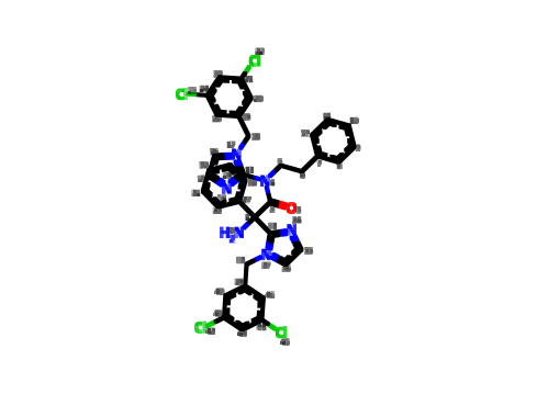 NC(C(=O)N(CCc1ccccc1)c1nccn1Cc1cc(Cl)cc(Cl)c1)(c1ccccc1)c1nccn1Cc1cc(Cl)cc(Cl)c1